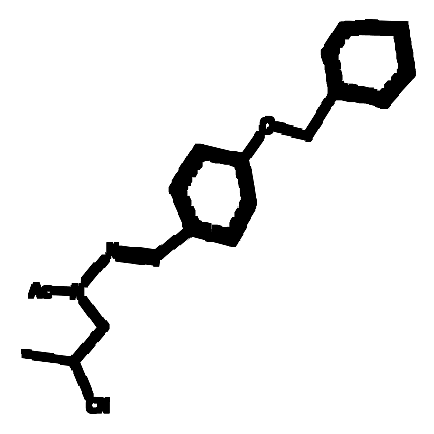 CC(=O)N(CC(C)C#N)N=Cc1ccc(OCc2ccccc2)cc1